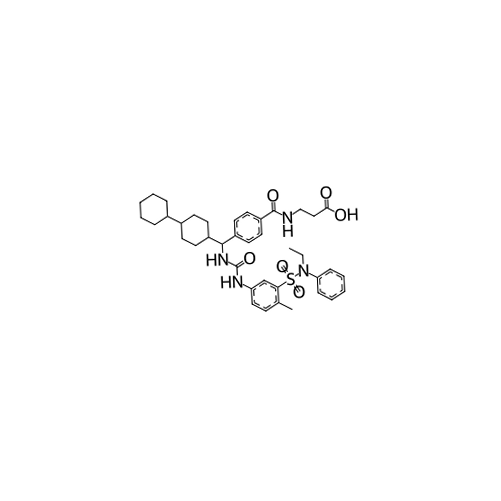 CCN(c1ccccc1)S(=O)(=O)c1cc(NC(=O)NC(c2ccc(C(=O)NCCC(=O)O)cc2)C2CCC(C3CCCCC3)CC2)ccc1C